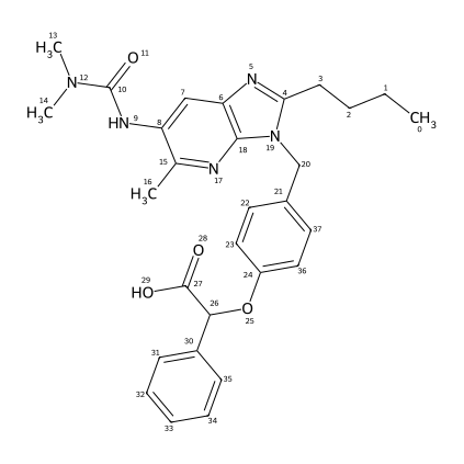 CCCCc1nc2cc(NC(=O)N(C)C)c(C)nc2n1Cc1ccc(OC(C(=O)O)c2ccccc2)cc1